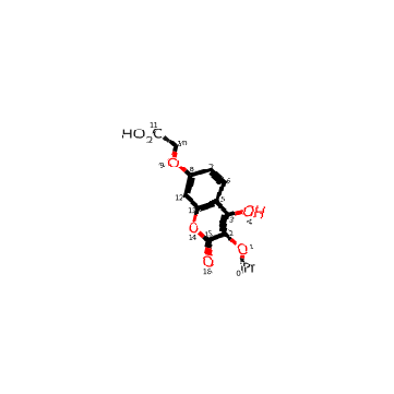 CC(C)Oc1c(O)c2ccc(OCC(=O)O)cc2oc1=O